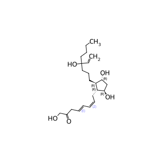 C=CC(O)(CCCC)CCC[C@@H]1[C@@H](C/C=C\C=C\CC(=O)CO)[C@H](O)C[C@H]1O